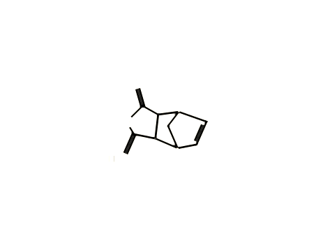 C=C1OC(=O)C2C3C=CC(C3)C12